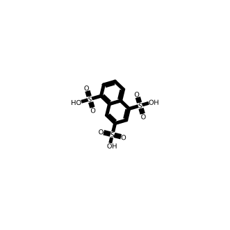 O=S(=O)(O)c1cc(S(=O)(=O)O)c2cc[c]c(S(=O)(=O)O)c2c1